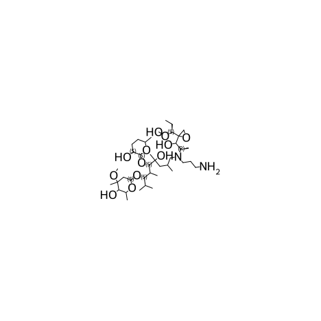 CC[C@H](OO)C1(C(O)[C@@H](C)N(CCCN)CC(C)CC(C)(O)[C@@H](O[C@@H]2OC(C)CC[C@@H]2O)C(C)[C@@H](O[C@@H]2CC(C)(OC)C(O)C(C)O2)C(C)C)CO1